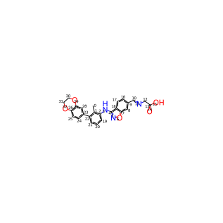 Cc1c(Nc2noc3cc(C=NCC(=O)O)ccc23)cccc1-c1ccc2c(c1)OCCO2